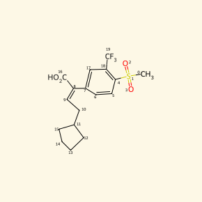 CS(=O)(=O)c1ccc(/C(=C\CC2CCCC2)C(=O)O)cc1C(F)(F)F